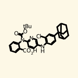 CC(C)(C)OC(=O)N(c1ccc(Nc2ccc(C34CC5CC(CC(C5)C3)C4)cc2Cl)cn1)c1ccccc1C(=O)O